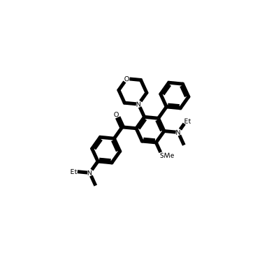 CCN(C)c1ccc(C(=O)c2cc(SC)c(N(C)CC)c(-c3ccccc3)c2N2CCOCC2)cc1